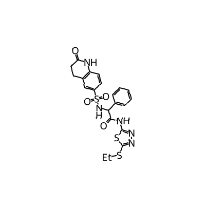 CCSc1nnc(NC(=O)C(NS(=O)(=O)c2ccc3c(c2)CCC(=O)N3)c2ccccc2)s1